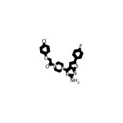 Nc1nc(N2CCN(C(=O)COc3ccc(Cl)cc3)CC2)c2cc(-c3ccc(F)cc3)sc2n1